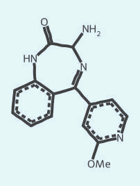 COc1cc(C2=NC(N)C(=O)Nc3ccccc32)ccn1